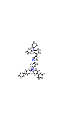 c1ccc(-c2ccc(N(c3ccc(-c4ccccc4)cc3)c3ccc(-c4ccc(-c5cccc(-n6c7c(c8ccccc86)CCCC7)c5)cn4)cc3)cc2)cc1